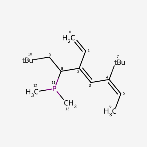 C=C/C(=C\C(=C/C)C(C)(C)C)C(CC(C)(C)C)P(C)C